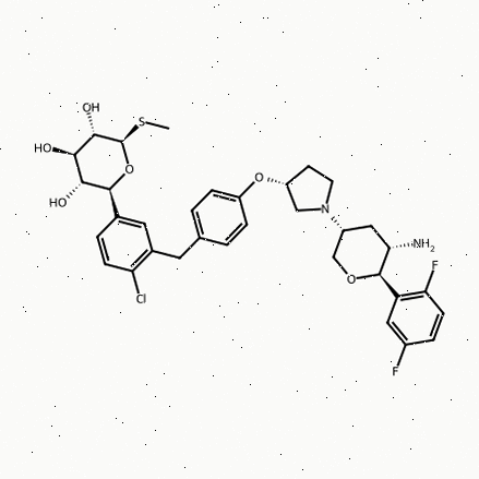 CS[C@H]1O[C@@H](c2ccc(Cl)c(Cc3ccc(O[C@@H]4CCN([C@H]5CO[C@H](c6cc(F)ccc6F)[C@@H](N)C5)C4)cc3)c2)[C@H](O)[C@@H](O)[C@@H]1O